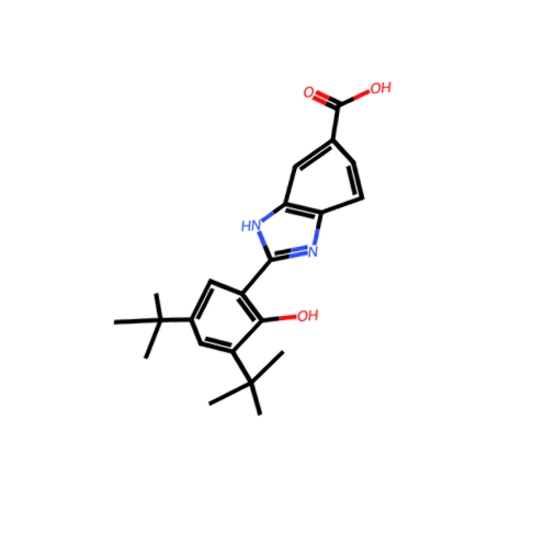 CC(C)(C)c1cc(-c2nc3ccc(C(=O)O)cc3[nH]2)c(O)c(C(C)(C)C)c1